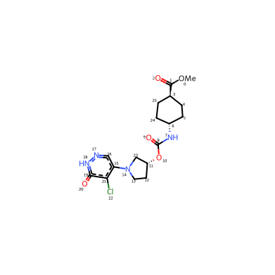 COC(=O)[C@H]1CC[C@H](NC(=O)O[C@@H]2CCN(c3cn[nH]c(=O)c3Cl)C2)CC1